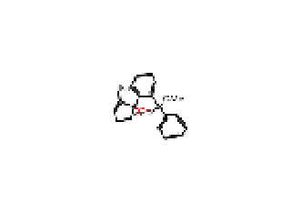 COC(OC)(c1ccccc1)c1ccccc1C1(O)CCC=C1C(C)(C)C